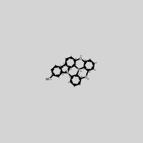 N#Cc1ccc2c3ccc4c5c3n(c2c1)-c1cccc2c1B5c1c(cccc1O4)O2